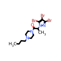 CCCCN1CCN(C(=O)C(C)n2nc(Br)c(Br)c2Br)CC1